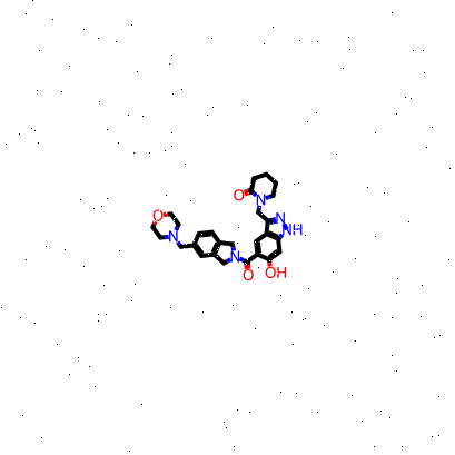 O=C1CCCCN1Cc1n[nH]c2cc(O)c(C(=O)N3Cc4ccc(CN5CCOCC5)cc4C3)cc12